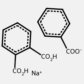 O=C(O)c1ccccc1C(=O)O.O=C([O-])c1ccccc1.[Na+]